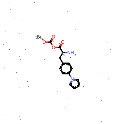 CC(C)(C)OC(=O)OC(=O)[C@@H](N)Cc1ccc(-n2cccc2)cc1